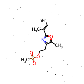 CCC/C=C(\C)c1nc(CCOS(C)(=O)=O)c(C)o1